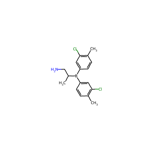 Cc1ccc(B(c2ccc(C)c(Cl)c2)C(C)CN)cc1Cl